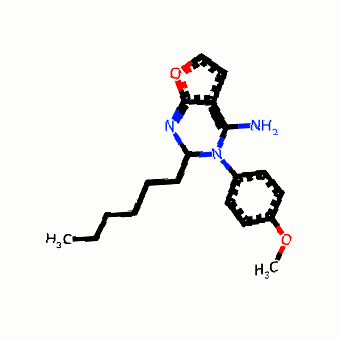 CCCCCCC1N=c2occc2=C(N)N1c1ccc(OC)cc1